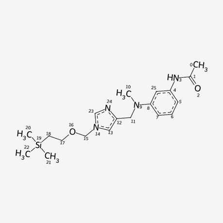 CC(=O)Nc1cccc(N(C)Cc2cn(COCC[Si](C)(C)C)cn2)c1